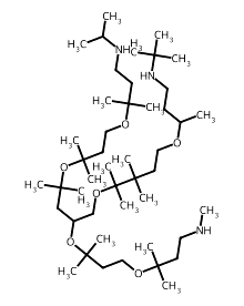 CNCCC(C)(C)OCCC(C)(C)OC(COC(C)(C)C(C)(C)CCOC(C)CCNC(C)(C)C)CC(C)(C)OC(C)(C)CCOC(C)(C)CCNC(C)C